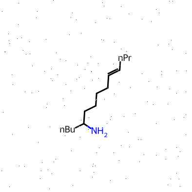 CCC/C=C/CCCCC(N)CCCC